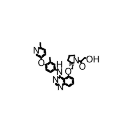 Cc1ccc(Oc2ccc(Nc3ncnc4cccc(OC[C@H]5CCCN5C(=O)CO)c34)cc2C)cn1